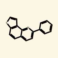 c1ccc(-c2ccc3ccc4sccc4c3n2)cc1